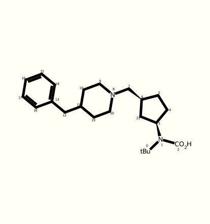 CC(C)(C)N(C(=O)O)[C@@H]1CC[C@H](CN2CCC(Cc3ccccc3)CC2)C1